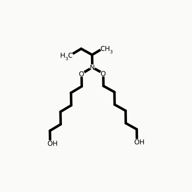 CCC(C)N(OCCCCCCO)OCCCCCCO